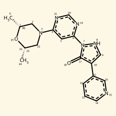 C[C@@H]1CN(c2cc(-n3[nH]cc(-c4cccnc4)c3=O)ncn2)C[C@H](C)O1